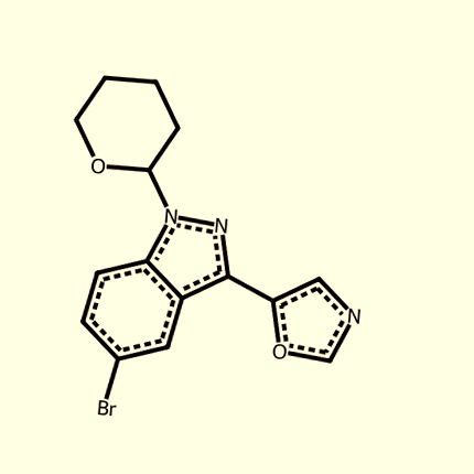 Brc1ccc2c(c1)c(-c1cnco1)nn2C1CCCCO1